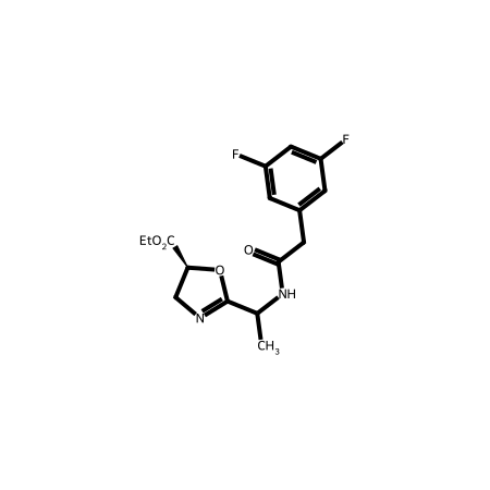 CCOC(=O)[C@@H]1CN=C(C(C)NC(=O)Cc2cc(F)cc(F)c2)O1